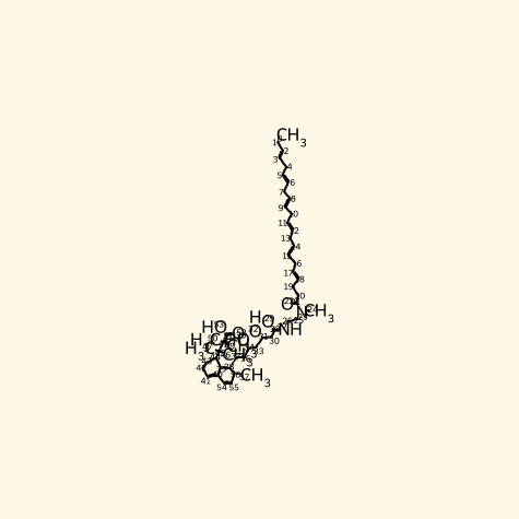 CCC=CCC=CCC=CCC=CCC=CCC=CCCC(=O)N(C)CCNC(=O)C[C@H](O)C[C@@H](O)CC[C@@H]1C2C(=CCCC2C(C)(C)C(C)(C)C(=O)O)C=C[C@@H]1C